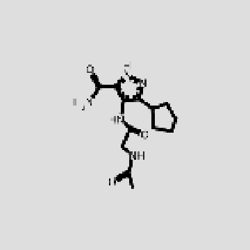 CC(=O)NCC(=O)Nc1c(C2CCCC2)n[nH]c1C(N)=O